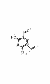 Cc1cc(O)c(C=O)cc1N=O